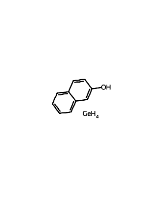 Oc1ccc2ccccc2c1.[GeH4]